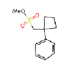 COS(=O)(=O)CC1(c2ccccc2)CCC1